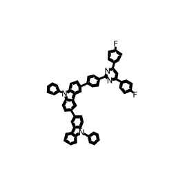 Fc1ccc(-c2cc(-c3ccc(F)cc3)nc(-c3ccc(-c4ccc5c(c4)c4cc(-c6ccc7c(c6)c6ccccc6n7-c6ccccc6)ccc4n5-c4ccccc4)cc3)n2)cc1